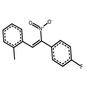 Cc1ccccc1C=C(c1ccc(F)cc1)[N+](=O)[O-]